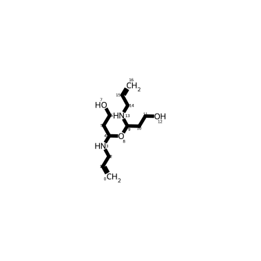 C=CCNC(CCO)OC(CCO)NCC=C